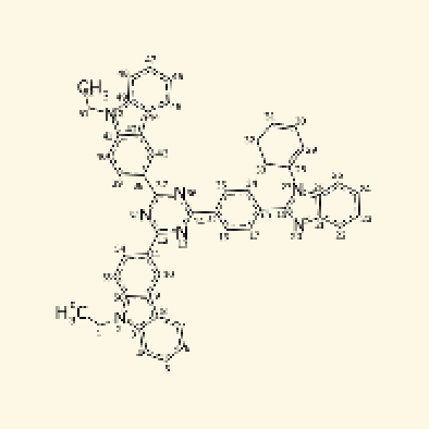 CCn1c2ccccc2c2cc(-c3nc(-c4ccc(-c5nc6ccccc6n5C5=CC=CCC5)cc4)nc(-c4ccc5c(c4)c4ccccc4n5CC)n3)ccc21